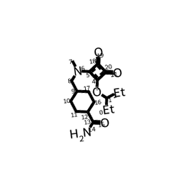 CCC(CC)Oc1c(N(C)CC2CCC(C(N)=O)CC2)c(=O)c1=O